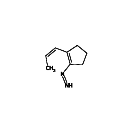 C/C=C\C1=C(N=N)CCC1